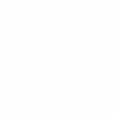 CCC(C)(COC(=O)C(C)C)C(=O)OCC(C)C(F)(F)F